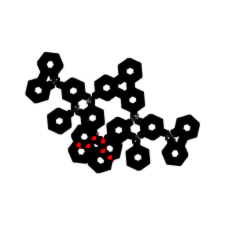 c1ccc(N2c3cc(-n4c5ccccc5c5ccccc54)ccc3N(c3ccc4c5ccccc5c5ccc(N6c7ccc(-n8c9ccccc9c9ccccc98)cc7N(c7ccccc7)c7cc(-n8c9ccccc9c9ccccc98)ccc76)cc5c4c3)c3ccc(-n4c5ccccc5c5ccccc54)cc32)cc1